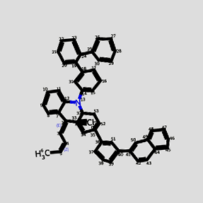 C#C/C(=C\C=C/C)c1ccccc1N(c1cccc(-c2ccccc2-c2ccccc2)c1)C1C=CC(c2cccc(-c3ccc4ccccc4c3)c2)=CC1